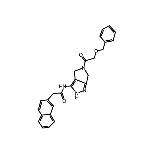 O=C(Cc1ccc2ccccc2c1)Nc1[nH]nc2c1CN(C(=O)COCc1ccccc1)C2